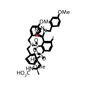 COc1ccc(CN(Cc2ccc(OC)cc2)S(=O)(=O)c2c(S(=O)(=O)NC[C@@H](C)NC(=O)O)ccc(I)c2-c2nnnn2Cc2ccc(OC)cc2)cc1